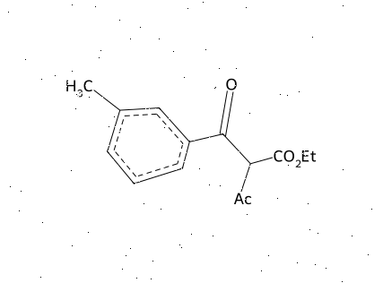 CCOC(=O)C(C(C)=O)C(=O)c1cccc(C)c1